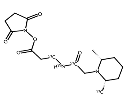 C[C@@H]1CCC[C@H]([13CH3])N1C[13C](=O)[15NH][13CH2]CC(=O)ON1C(=O)CCC1=O